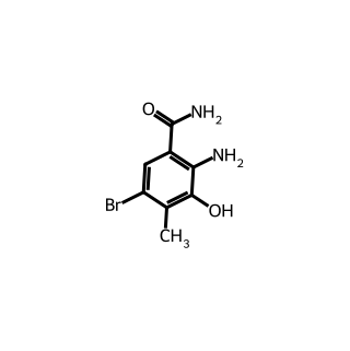 Cc1c(Br)cc(C(N)=O)c(N)c1O